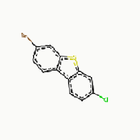 Clc1ccc2c(c1)sc1cc(Br)ccc12